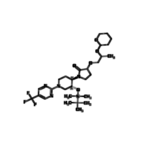 CC(COC1CCN([C@@H]2CCN(c3ncc(C(F)(F)F)cn3)C[C@H]2O[Si](C)(C)C(C)(C)C)C1=O)OC1CCCCO1